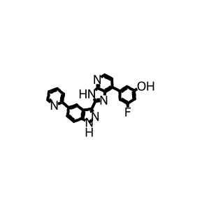 Oc1cc(F)cc(-c2ccnc3[nH]c(-c4n[nH]c5ccc(-c6ccccn6)cc45)nc23)c1